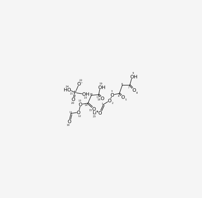 O=COOC(=O)CC(=O)O.O=COOC(=O)CC(=O)O.O=P([O-])(O)O.[Li+]